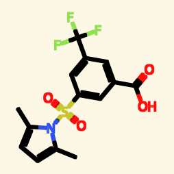 Cc1ccc(C)n1S(=O)(=O)c1cc(C(=O)O)cc(C(F)(F)F)c1